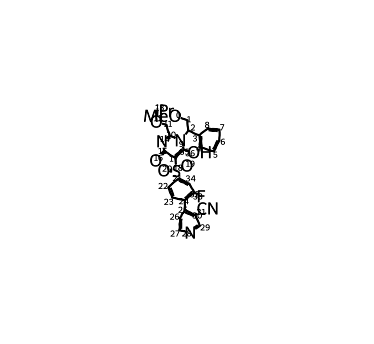 COCC(c1ccccc1)n1c(COC(C)C)nc(=O)c(S(=O)(=O)c2ccc(-c3ccncc3C#N)c(F)c2)c1O